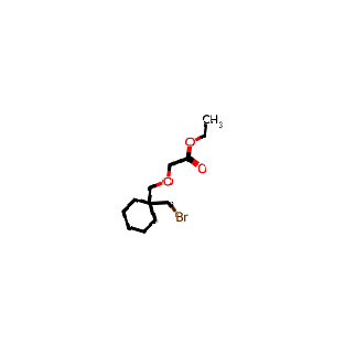 CCOC(=O)COCC1([CH]Br)CCCCC1